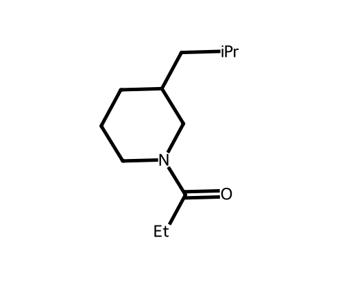 CCC(=O)N1CCCC(CC(C)C)C1